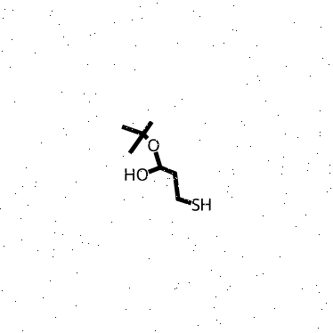 CC(C)(C)OC(O)CCS